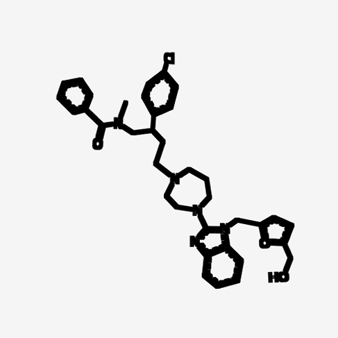 CN(CC(CCN1CCCN(c2nc3ccccc3n2Cc2ccc(CO)o2)CC1)c1ccc(Cl)cc1)C(=O)c1ccccc1